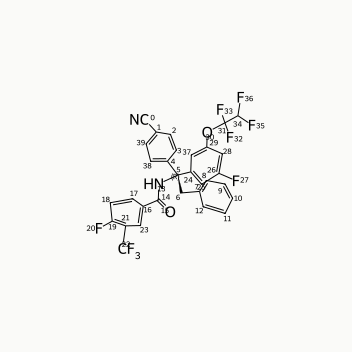 N#Cc1ccc([C@@](Cc2ccccc2)(NC(=O)c2ccc(F)c(C(F)(F)F)c2)c2cc(F)cc(OC(F)(F)C(F)F)c2)cc1